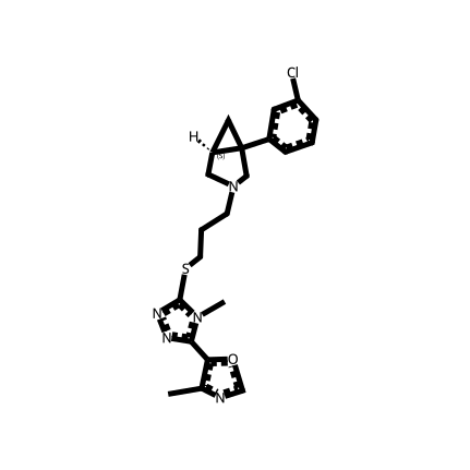 Cc1ncoc1-c1nnc(SCCCN2C[C@H]3CC3(c3cccc(Cl)c3)C2)n1C